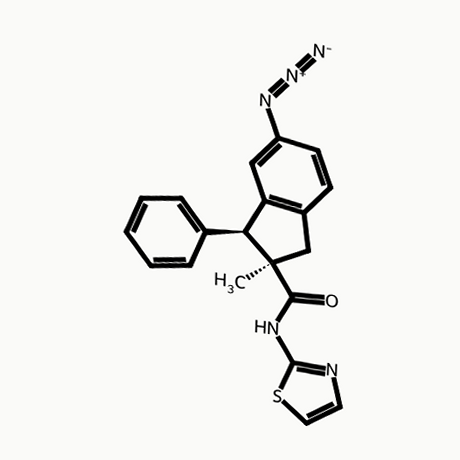 C[C@@]1(C(=O)Nc2nccs2)Cc2ccc(N=[N+]=[N-])cc2[C@@H]1c1ccccc1